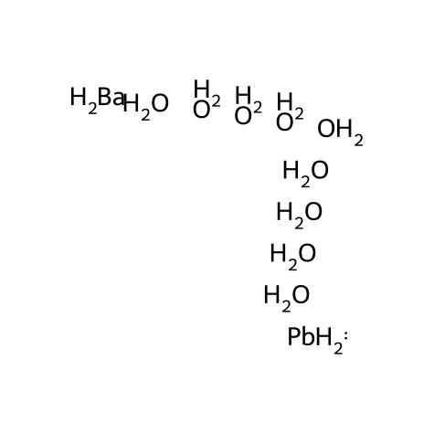 O.O.O.O.O.O.O.O.O.[BaH2].[PbH2]